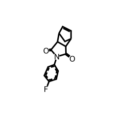 O=C1C2C3C=CC(C3)C2C(=O)N1c1ccc(F)cc1